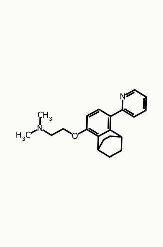 CN(C)CCOc1ccc(-c2ccccn2)c2c1C1CCC2CC1